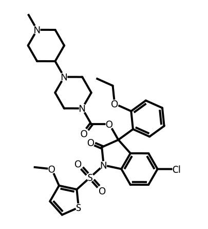 CCOc1ccccc1C1(OC(=O)N2CCN(C3CCN(C)CC3)CC2)C(=O)N(S(=O)(=O)c2sccc2OC)c2ccc(Cl)cc21